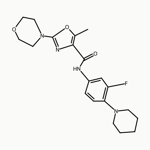 Cc1oc(N2CCOCC2)nc1C(=O)Nc1ccc(N2CCCCC2)c(F)c1